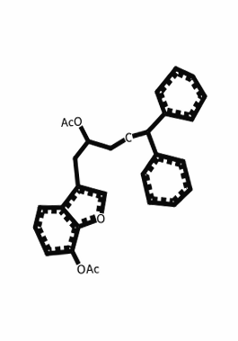 CC(=O)Oc1cccc2c(CC(CCC(c3ccccc3)c3ccccc3)OC(C)=O)coc12